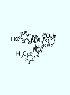 Cc1cccc(Cn2cc(CC(c3cn(Cc4cccc(O)c4)nn3)N(C(=O)O)C3CCCCC3)nn2)c1